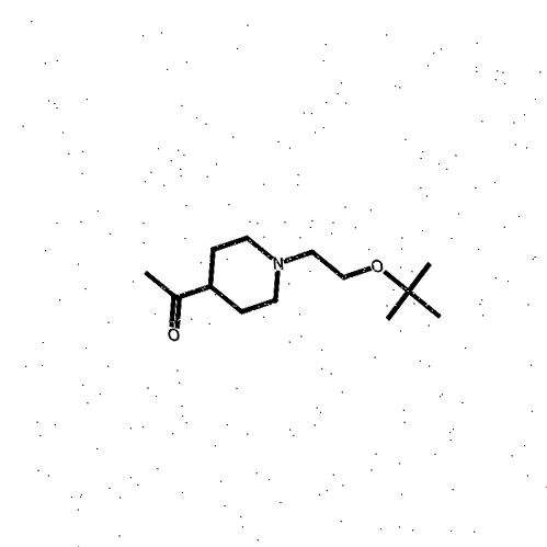 CC(=O)C1CCN(CCOC(C)(C)C)CC1